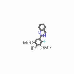 COc1cc(-c2ncc3ccccc3n2)c(F)c(OC)c1C(C)C